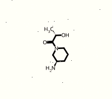 C[C@H](O)C(=O)N1CCC[C@@H](N)C1